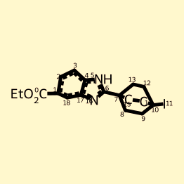 CCOC(=O)c1ccc2[nH]c(C34CCC(I)(CC3)CC4)nc2c1